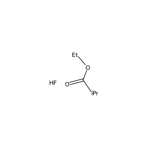 CCOC(=O)C(C)C.F